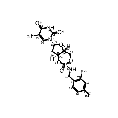 O=c1[nH]c(=O)n([C@H]2C[C@@H]3O[P@](=O)(NCc4ccc(F)cc4F)OC[C@H]3O2)cc1F